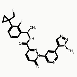 C[C@@H](NC(=O)c1ccc(=O)n(-c2cncc(-c3cnnn3C)c2)n1)c1cccc(C2(CF)CC2)c1F